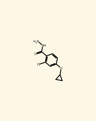 NNC(=O)c1ccc(OC2CC2)cc1Cl